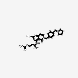 CCCC(CCOC(=O)C(F)(F)F)Nc1nc(N)nc2ccn(Cc3ccc(CN4CCCC4)cc3)c(=O)c12